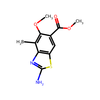 Bc1c(OC)c(C(=O)OC)cc2sc(N)nc12